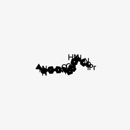 CC(C)Oc1ccc(-c2n[nH]c3ccc(N4CCC5(CCN(CC(=O)N6CC=C(c7ccc(-c8ncn(C9CC9)n8)cc7)CC6)C5)C4=O)cc23)cn1